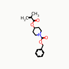 C=C(C)C(=O)OC1CCN(C(=O)OCc2ccccc2)CC1